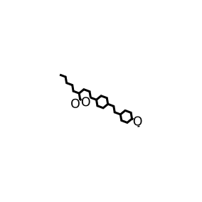 CCCCCC1CCC(C2CCC(CCC3CCC(OC)CC3)CC2)OC1=O